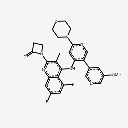 COc1cncc(-c2cnc(N3CCOCC3)cc2Nc2c(C)c(N3CCC3=O)nc3cc(F)cc(F)c23)c1